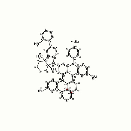 Cc1ccccc1-c1ccc2c(c1)C1(C)CCCCC1(C)N2c1cc2c3c(c1)N(c1ccc(C(C)(C)C)cc1-c1ccccc1)c1ccccc1B3c1cc(C(C)(C)C)ccc1N2c1ccc(C(C)(C)C)cc1